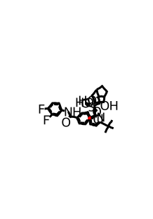 CC(C)(C)c1cccc(C(O)C(O)[C@]2(O)C3CCC2C[C@@H](S(=O)(=O)c2cc(C(=O)Nc4ccc(F)c(F)c4)ccc2Cl)C3)n1